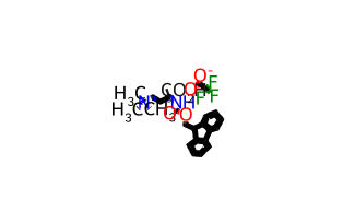 C[N+](C)(C)CC[C@H](NC(=O)OCC1c2ccccc2-c2ccccc21)C(=O)O.O=C([O-])C(F)(F)F